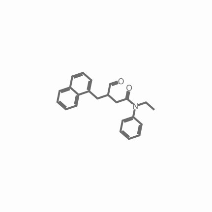 CCN(C(=O)CC(C=O)Cc1cccc2ccccc12)c1ccccc1